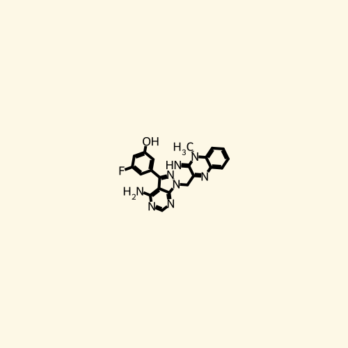 Cn1c(=N)c(Cn2nc(-c3cc(O)cc(F)c3)c3c(N)ncnc32)nc2ccccc21